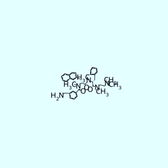 CN(C)CCN(C)C(=O)[C@@H](Cc1ccccc1)N(C)C(=O)[C@@H](Cc1ccc2ccccc2c1)N(C)C(=O)c1cccc(CN)c1